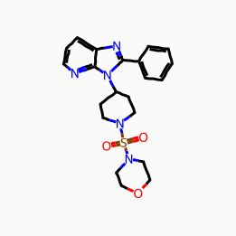 O=S(=O)(N1CCOCC1)N1CCC(n2c(-c3ccccc3)nc3cccnc32)CC1